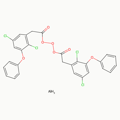 O=C(Cc1cc(Cl)cc(Oc2ccccc2)c1Cl)OOOC(=O)Cc1cc(Cl)cc(Oc2ccccc2)c1Cl.[AlH3]